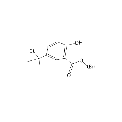 CCC(C)(C)c1ccc(O)c(C(=O)OC(C)(C)C)c1